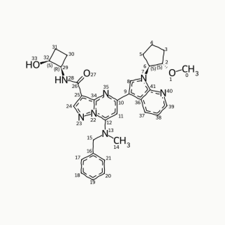 CO[C@H]1CCC[C@@H]1n1cc(-c2cc(N(C)Cc3ccccc3)n3ncc(C(=O)N[C@@H]4CC[C@@H]4O)c3n2)c2cccnc21